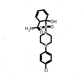 NC(=O)C1C=CC=CC1(O)S(=O)(=O)N1CCN(c2ccc(Cl)cc2)CC1